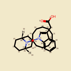 O=C(O)Cc1cn([C@@H]2C[C@H]3CCC[C@@H](C2)N3C2CCCCCCCCC2)c2ccccc12